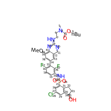 CCCCOC(=O)N(C)CCNc1ncc2cc(-c3c(F)ccc(NS(=O)(=O)c4cc(Cl)cc5c4CC[C@H]5O)c3F)cc(OC)c2n1